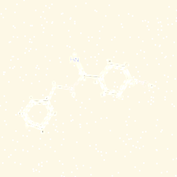 N=C(SCc1ccccc1)c1ccc(F)cc1